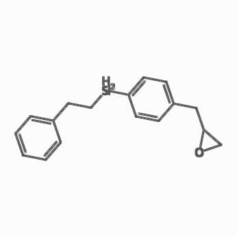 c1ccc(CC[SiH2]c2ccc(CC3CO3)cc2)cc1